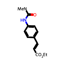 CCOC(=O)C=Cc1ccc(NC(=O)NC)cc1